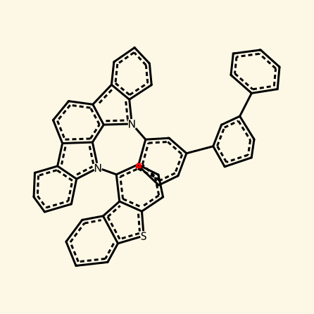 c1ccc(-c2cccc(-c3cccc(-n4c5ccccc5c5ccc6c7ccccc7n(-c7cccc8sc9ccccc9c78)c6c54)c3)c2)cc1